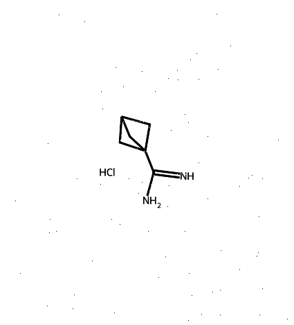 Cl.N=C(N)C12CC(C1)C2